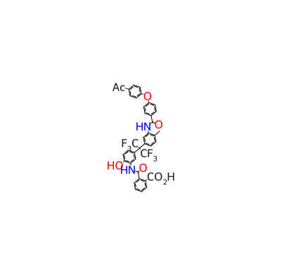 CC(=O)c1ccc(Oc2ccc(C(=O)Nc3cc(C(c4ccc(O)c(NC(=O)c5ccccc5C(=O)O)c4)(C(F)(F)F)C(F)(F)F)ccc3C)cc2)cc1